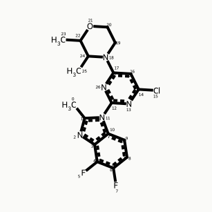 Cc1nc2c(F)c(F)ccc2n1-c1nc(Cl)cc(N2CCOC(C)C2C)n1